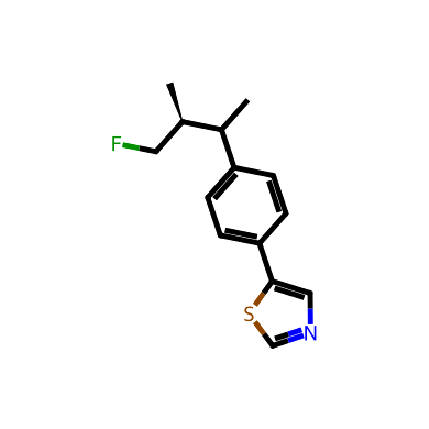 CC(c1ccc(-c2cncs2)cc1)[C@H](C)CF